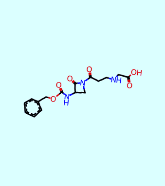 O=C(O)CNCCC(=O)N1CC(NC(=O)OCc2ccccc2)C1=O